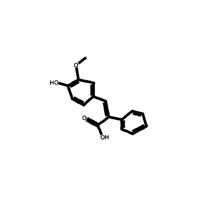 COc1cc(C=C(C(=O)O)c2ccccc2)ccc1O